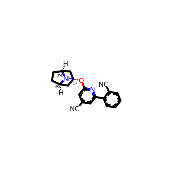 N#Cc1cc(O[C@@H]2C[C@H]3CC[C@@H](C2)N3)nc(-c2ccccc2C#N)c1